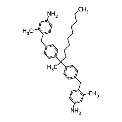 CCCCCCCCCC(C)(c1ccc(Cc2ccc(N)cc2C)cc1)c1ccc(Cc2ccc(N)cc2C)cc1